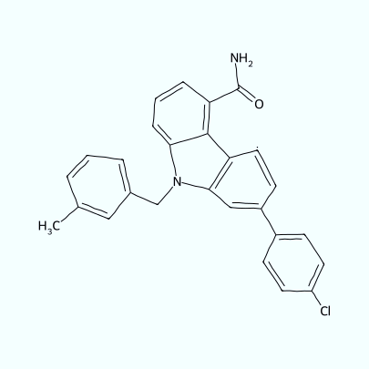 Cc1cccc(Cn2c3cc(-c4ccc(Cl)cc4)c[c]c3c3c(C(N)=O)cccc32)c1